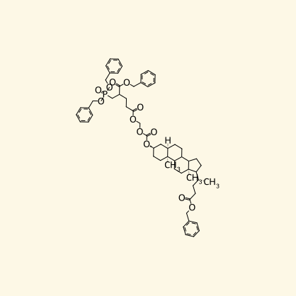 C[C@H](CCC(=O)OCc1ccccc1)C1CCC2C3CC[C@@H]4C[C@H](OC(=O)OCOC(=O)CCC(CP(=O)(OCc5ccccc5)OCc5ccccc5)C(=O)OCc5ccccc5)CC[C@]4(C)C3CC[C@@]21C